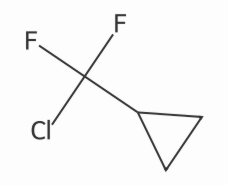 FC(F)(Cl)C1CC1